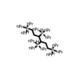 CCC[PH](CCC)(CCC)CCC(C(CC[PH](CCC)(CCC)CCC)[PH](CCC)(CCC)CCC)[PH](CCC)(CCC)CCC